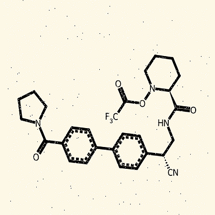 N#C[C@@H](CNC(=O)[C@@H]1CCCCN1OC(=O)C(F)(F)F)c1ccc(-c2ccc(C(=O)N3CCCC3)cc2)cc1